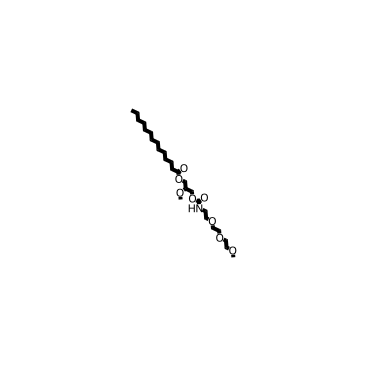 CCCCCCCCCCCCCC(=O)OCC(COC(=O)NCCOCCOCCOC)OC